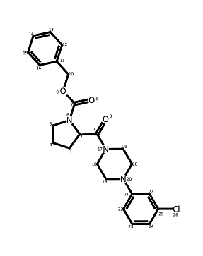 O=C([C@H]1CCCN1C(=O)OCc1ccccc1)N1CCN(c2cccc(Cl)c2)CC1